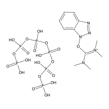 CN(C)C(On1nnc2ccccc21)=[N+](C)C.O=P(O)(O)OP(=O)(O)OP(=O)(O)OP(=O)(O)OP(=O)(O)OP(=O)(O)O